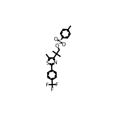 Cc1ccc(S(=O)(=O)OCC(C)(C)c2nc(-c3ccc(C(F)(F)F)cc3)sc2C)cc1